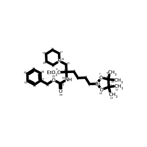 CCOC(=O)C(CCCCB1OC(C)(C)C(C)(C)O1)(CN1CCCCC1)NC(=O)OCc1ccccc1